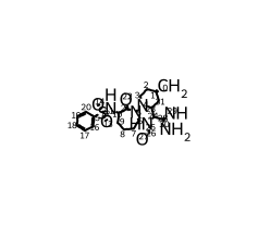 C=C1CCN(N2CCCCC(NS(=O)(=O)c3ccccc3)C2=O)C(C(NC=O)C(=N)N)C1